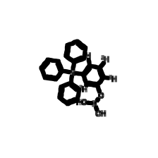 [2H]c1c([2H])c(OB(O)O)c([2H])c([Si](c2ccccc2)(c2ccccc2)c2ccccc2)c1[2H]